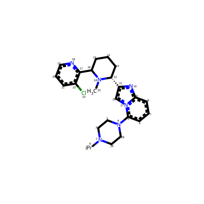 CC(C)N1CCN(c2cccc3nc([C@H]4CCCC(c5ncccc5Cl)N4C)cn23)CC1